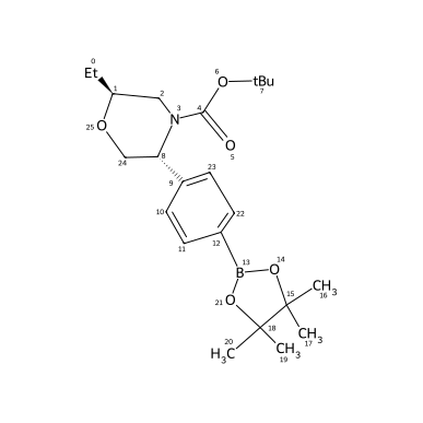 CC[C@H]1CN(C(=O)OC(C)(C)C)[C@H](c2ccc(B3OC(C)(C)C(C)(C)O3)cc2)CO1